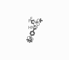 CC(C)(C)OC(=O)N1CC(F)(F)C[C@H]1c1ncc(-c2ccc(B3OC(C)(C)C(C)(C)O3)cc2)[nH]1